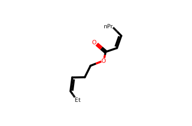 CC/C=C\CCOC(=O)/C=C\CCC